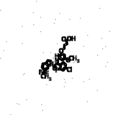 COc1cc(NC(C(=O)N2CCc3ccc(C(C)(F)F)cc32)c2ccc(Cl)cc2F)cc(OCCCC(=O)O)c1